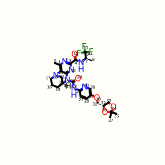 Cc1nc(C(=O)N[C@H](C)C(F)(F)F)nc2c1N1CCC[C@@H](C1)N2C(=O)Nc1ccc(OC[C@@H]2COC(C)(C)O2)cn1